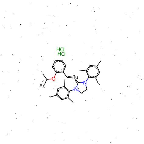 CC(=O)C(C)Oc1ccccc1[CH]=[Ru]=[C]1N(c2c(C)cc(C)cc2C)CCN1c1c(C)cc(C)cc1C.Cl.Cl